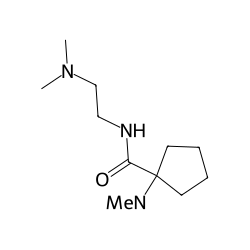 CNC1(C(=O)NCCN(C)C)CCCC1